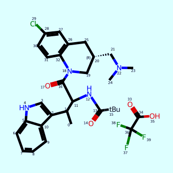 CC(c1c[nH]c2ccccc12)C(NC(=O)C(C)(C)C)C(=O)N1C[C@@H](CN(C)C)Cc2cc(Cl)ccc21.O=C(O)C(F)(F)F